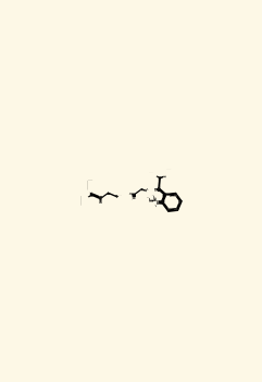 O=C(Cn1nc2ccccc2c1C(F)F)OCCC(F)=C(F)F